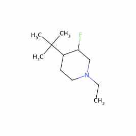 CCN1CCC(C(C)(C)C)C(F)C1